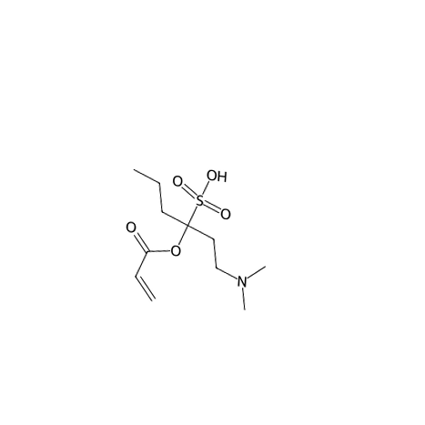 C=CC(=O)OC(CCC)(CCN(C)C)S(=O)(=O)O